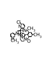 Cc1cc(C(C)Nc2ccc(Cl)nc2-c2cnn(C3=CC=CN(C)C3)c2)c2c(c1)c(=O)n1c3c2cnn3CCC1